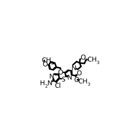 COC(=O)c1nc(Sc2ccnc(N)c2Cl)c(OCc2ccc(OC)cc2)cc1N1CCC2(CC1)CO[C@@H](C)C2